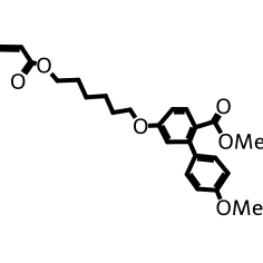 C=CC(=O)OCCCCCCOc1ccc(C(=O)OC)c(-c2ccc(OC)cc2)c1